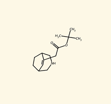 CC(C)(C)OC(=O)CC1=CC2CCC1CNC2